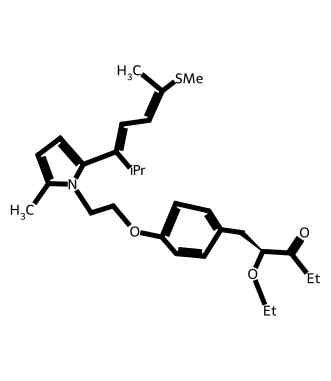 CCO[C@@H](Cc1ccc(OCCn2c(C)ccc2/C(=C/C=C(\C)SC)C(C)C)cc1)C(=O)CC